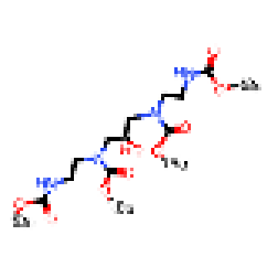 CC(C)(C)OC(=O)NCCN(CC(O)CN(CCNC(=O)OC(C)(C)C)C(=O)OC(C)(C)C)C(=O)OC(C)(C)C